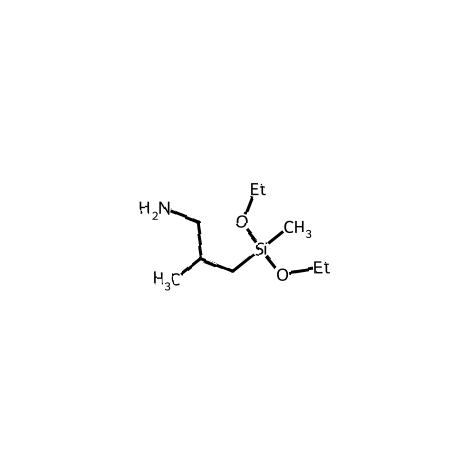 CCO[Si](C)(CC(C)CN)OCC